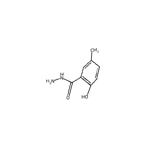 Cc1ccc(O)c(C(=O)NN)c1